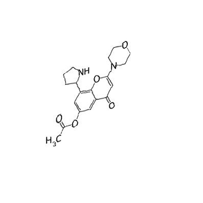 CC(=O)Oc1cc(C2CCCN2)c2oc(N3CCOCC3)cc(=O)c2c1